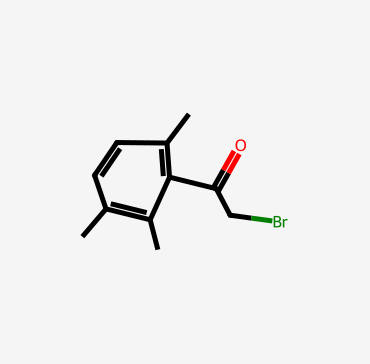 Cc1ccc(C)c(C(=O)CBr)c1C